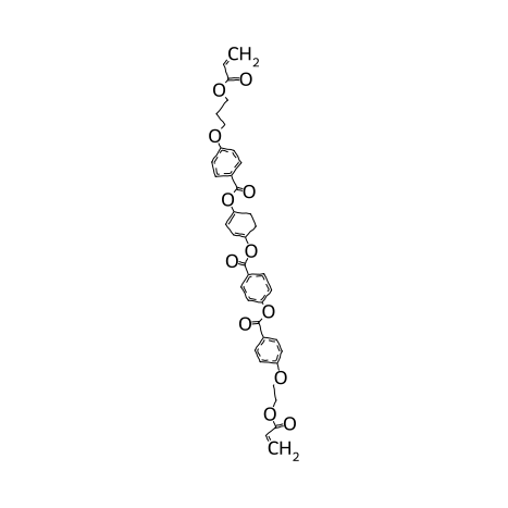 C=CC(=O)OCCCOc1ccc(C(=O)OC2=CC=C(OC(=O)c3ccc(OC(=O)c4ccc(OCCOC(=O)C=C)cc4)cc3)CC2)cc1